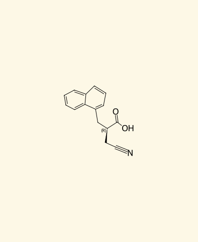 N#CC[C@@H](Cc1cccc2ccccc12)C(=O)O